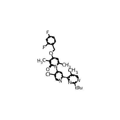 Cc1cnc(C(C)(C)C)nc1-c1cc(-n2c(C)cc(OCc3ccc(F)cc3F)c(C)c2=O)c(Cl)cn1